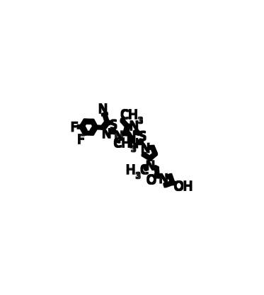 CCc1nc2sc(N3CCC(N(C)CC(=O)N4CC(O)C4)C3)nn2c1N(C)c1nc(-c2ccc(F)c(F)c2)c(C#N)s1